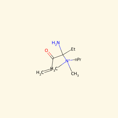 C=CC(=O)C(N)(CC)[N+](C)(C)CCC